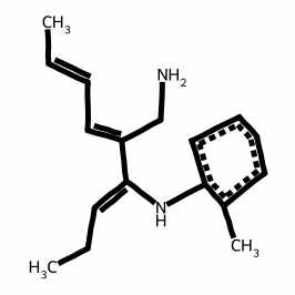 CC=C/C=C(CN)/C(=C/CC)Nc1ccccc1C